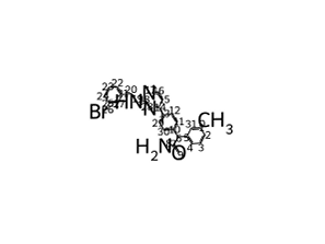 Cc1cccc(C(C(N)=O)c2ccc(-c3ccnc(NCc4cccc(Br)c4)n3)cc2)c1